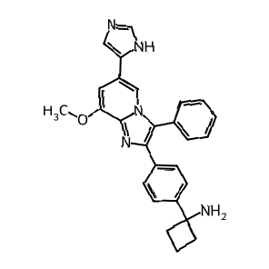 COc1cc(-c2cnc[nH]2)cn2c(-c3ccccc3)c(-c3ccc(C4(N)CCC4)cc3)nc12